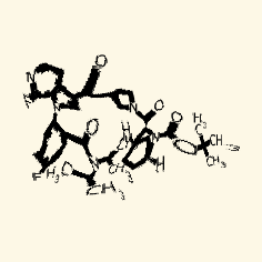 CC(C)N(C(=O)c1cc(F)ccc1-n1cc(C(=O)C2CN(C(=O)[C@@H]3[C@H]4CC[C@H](C4)N3C(=O)OC(C)(C)C)C2)c2ccnc(F)c21)C(C)C